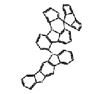 c1ccc2c(c1)B1c3cccc(-n4c5ccccc5c5cc6sc7ccccc7c6cc54)c3-c3cccc(c31)C21c2ccccc2-c2ccccc21